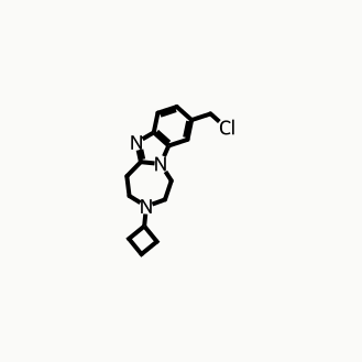 ClCc1ccc2nc3n(c2c1)CCN(C1CCC1)CC3